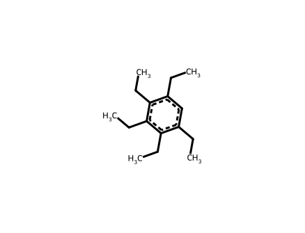 CCc1cc(CC)c(CC)c(CC)c1CC